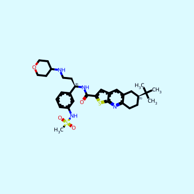 CC(C)(C)[C@H]1CCc2nc3sc(C(=O)N[C@H](CCNC4CCOCC4)c4cccc(NS(C)(=O)=O)c4)cc3cc2C1